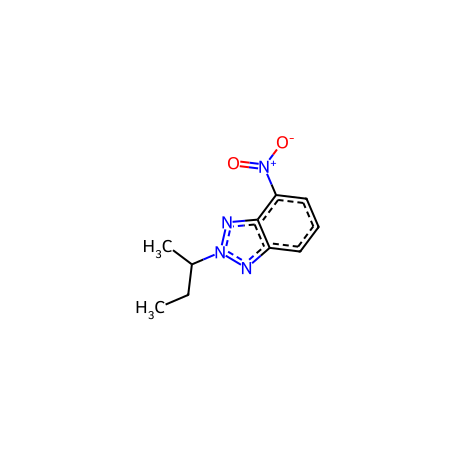 CCC(C)n1nc2cccc([N+](=O)[O-])c2n1